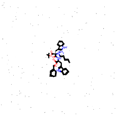 CCCCCN(N)[C@@](Cc1c[nH]c2ccccc12)(C(=O)NC(Cc1c[nH]c2ccccc12)C(=O)OCc1ccccc1)C(=O)OC(C)(C)C